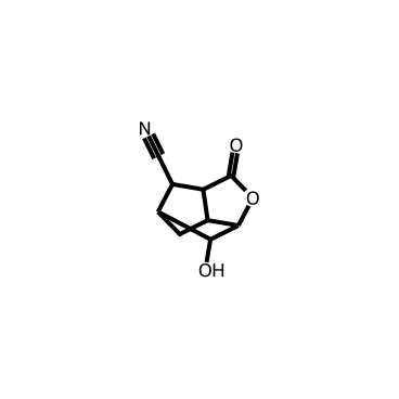 N#CC1C2CC3C(OC(=O)C13)C2O